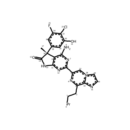 CC(C)CCc1nc(-c2nc(N)c3c(n2)NC(=O)[C@]3(C)c2cc(O)c(Cl)c(F)c2)cn2ccnc12